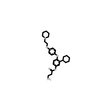 CCCC(=O)Oc1ccc(Oc2ccc(OCCN3CCCCC3)cc2)c(C2CCCCC2)c1